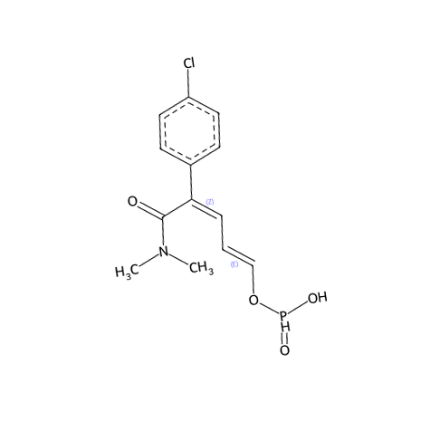 CN(C)C(=O)/C(=C\C=C\O[PH](=O)O)c1ccc(Cl)cc1